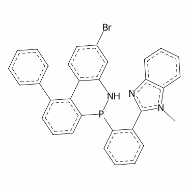 Cn1c(-c2ccccc2P2Nc3cc(Br)ccc3-c3c(-c4ccccc4)cccc32)nc2ccccc21